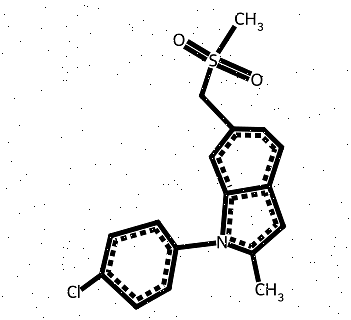 Cc1cc2ccc(CS(C)(=O)=O)cc2n1-c1ccc(Cl)cc1